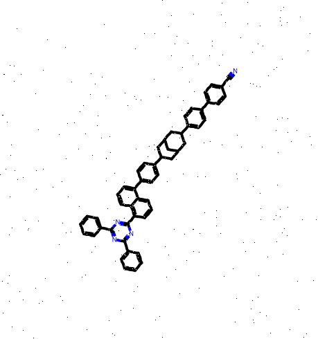 N#Cc1ccc(-c2ccc(C3CC4CC(C3)CC(c3ccc(-c5cccc6c(-c7nc(-c8ccccc8)nc(-c8ccccc8)n7)cccc56)cc3)C4)cc2)cc1